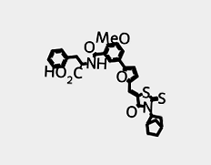 COc1ccc(-c2ccc(C=C3SC(=S)N(C4CC5CCC4C5)C3=O)o2)cc1C(=O)N[C@@H](Cc1ccccc1)C(=O)O